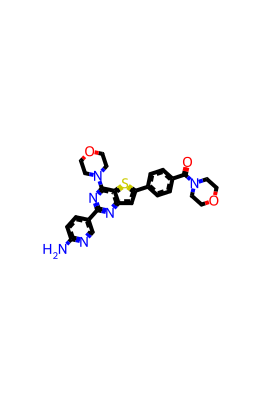 Nc1ccc(-c2nc(N3CCOCC3)c3sc(-c4ccc(C(=O)N5CCOCC5)cc4)cc3n2)cn1